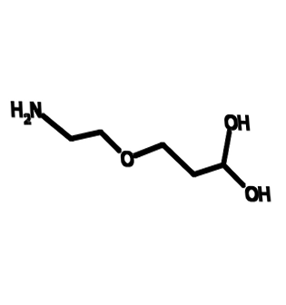 NCCOCCC(O)O